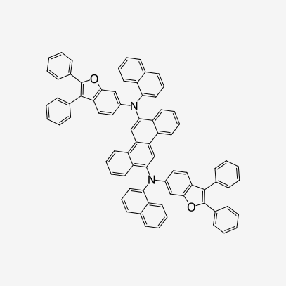 c1ccc(-c2oc3cc(N(c4cccc5ccccc45)c4cc5c6ccccc6c(N(c6ccc7c(-c8ccccc8)c(-c8ccccc8)oc7c6)c6cccc7ccccc67)cc5c5ccccc45)ccc3c2-c2ccccc2)cc1